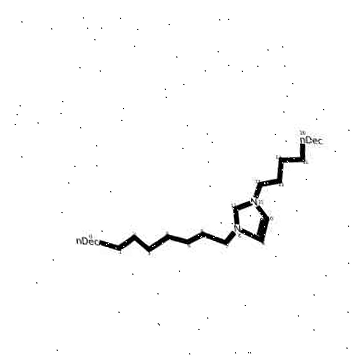 CCCCCCCCCCCCCCCCCN1C=CN(CCCCCCCCCCCCCC)C1